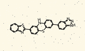 c1ccc2sc(-c3ccc4c(c3)Nc3ccc(-c5ccc6[nH]nnc6c5)cc3S4)nc2c1